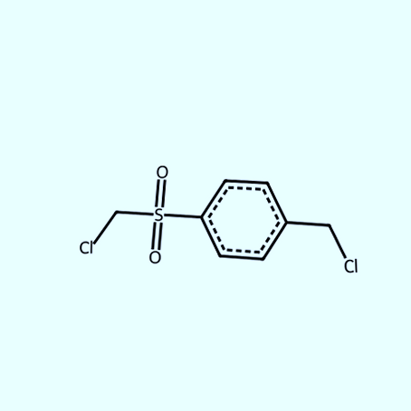 O=S(=O)(CCl)c1ccc(CCl)cc1